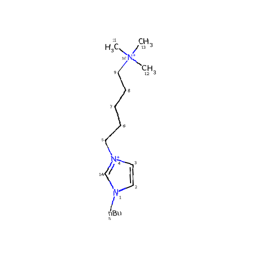 CCCCn1cc[n+](CCCCC[N+](C)(C)C)c1